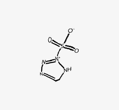 O=S(=O)([O-])[n+]1nnc[nH]1